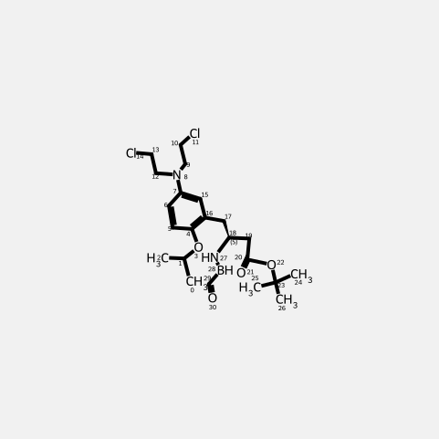 CC(C)Oc1ccc(N(CCCl)CCCl)cc1C[C@@H](CC(=O)OC(C)(C)C)NBC=O